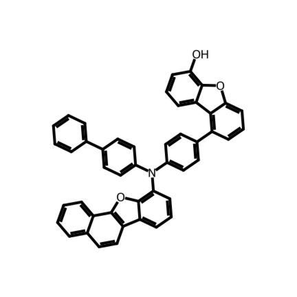 Oc1cccc2c1oc1cccc(-c3ccc(N(c4ccc(-c5ccccc5)cc4)c4cccc5c4oc4c6ccccc6ccc54)cc3)c12